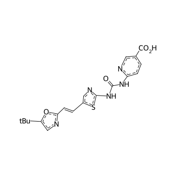 CC(C)(C)c1cnc(C=Cc2cnc(NC(=O)Nc3ccc(C(=O)O)cn3)s2)o1